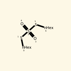 CCCCCCSS(=O)(=O)SCCCCCC